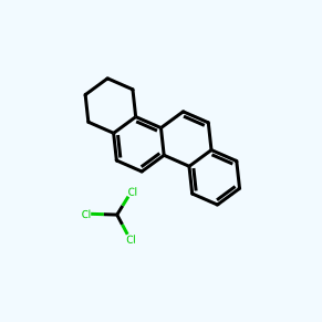 ClC(Cl)Cl.c1ccc2c(c1)ccc1c3c(ccc12)CCCC3